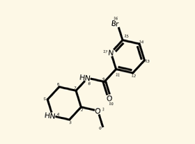 COC1CNCCC1NC(=O)c1cccc(Br)n1